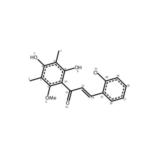 COc1c(C)c(O)c(C)c(O)c1C(=O)/C=C/c1ccccc1Cl